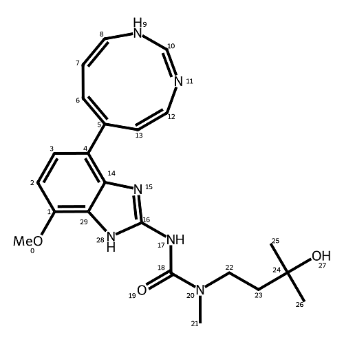 COc1ccc(-c2ccc[nH]cncc2)c2nc(NC(=O)N(C)CCC(C)(C)O)[nH]c12